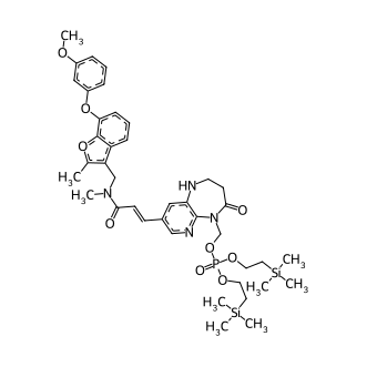 COc1cccc(Oc2cccc3c(CN(C)C(=O)C=Cc4cnc5c(c4)NCCC(=O)N5COP(=O)(OCC[Si](C)(C)C)OCC[Si](C)(C)C)c(C)oc23)c1